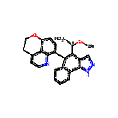 CC(C)(C)O[C@H](C(=O)O)c1c(-c2ccc3c4c(ccnc24)CCO3)c2ccccc2c2[nH]ncc12